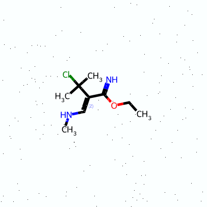 CCOC(=N)/C(=C/NC)C(C)(C)Cl